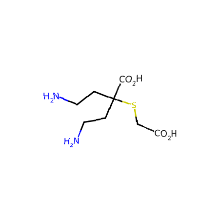 NCCC(CCN)(SCC(=O)O)C(=O)O